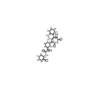 O=C1CC(=O)N(c2cccc(NC(=O)Cc3ccccc3Cl)c2)C2=C(N1)c1ccccc1CC2